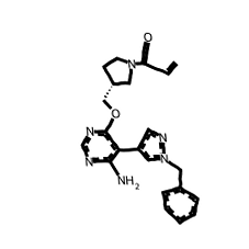 C=CC(=O)N1CC[C@@H](COc2ncnc(N)c2-c2cnn(Cc3ccccc3)c2)C1